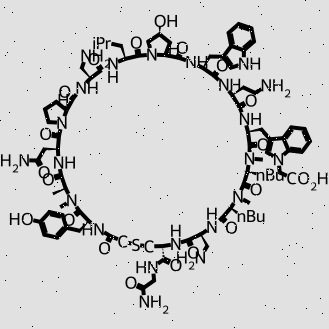 CCCC[C@H]1C(=O)N(C)[C@@H](CCCC)C(=O)N[C@@H](CN)C(=O)N[C@H](C(=O)NCC(N)=O)CSCC(=O)N[C@@H](Cc2ccc(O)cc2)C(=O)N(C)[C@@H](C)C(=O)N[C@@H](CC(N)=O)C(=O)N2CCC[C@H]2C(=O)N[C@@H](CN)C(=O)N[C@@H](CC(C)C)C(=O)N2C[C@H](O)C[C@H]2C(=O)N[C@@H](Cc2c[nH]c3ccccc23)C(=O)N[C@@H](CCN)C(=O)N[C@@H](Cc2cn(CC(=O)O)c3ccccc23)C(=O)N1C